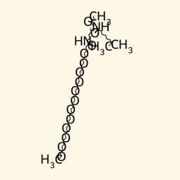 CCC(=O)[C@@H](CCCCNC(=O)CCOCCOCCOCCOCCOCCOCCOCCOCCOCCOCCOCCOC)NC(=O)CCCCCC(C)C